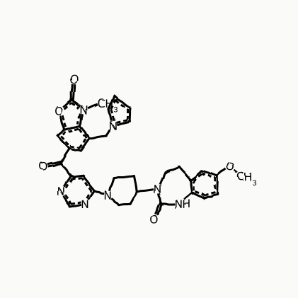 COc1ccc2c(c1)CCN(C1CCN(c3cc(C(=O)c4cc(Cn5cccc5)c5c(c4)oc(=O)n5C)ncn3)CC1)C(=O)N2